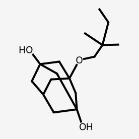 CCC(C)(C)COC12CC3CC(O)(CC(O)(C3)C1)C2